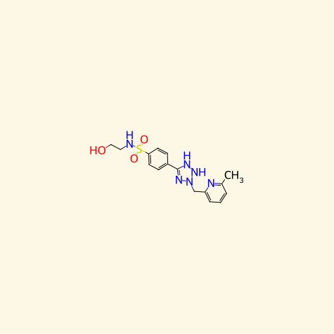 Cc1cccc(CN2N=C(c3ccc(S(=O)(=O)NCCO)cc3)NN2)n1